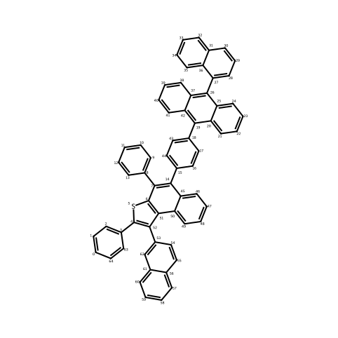 c1ccc(-c2sc3c(-c4ccccc4)c(-c4ccc(-c5c6ccccc6c(-c6cccc7ccccc67)c6ccccc56)cc4)c4ccccc4c3c2-c2ccc3ccccc3c2)cc1